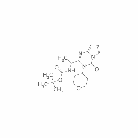 CC(NC(=O)OC(C)(C)C)c1nc2cccn2c(=O)n1C1CCOCC1